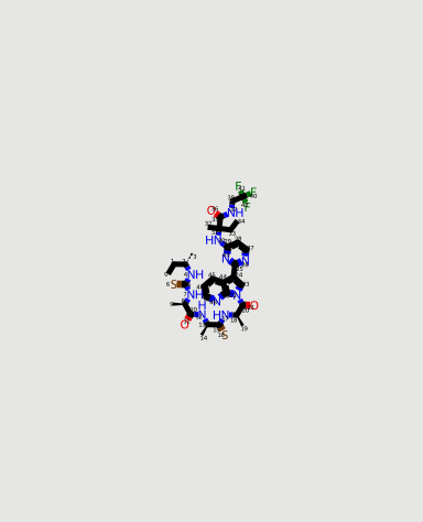 CC[C@H](C)NC(=S)N[C@H](C)C(=O)N[C@H](C)C(=S)N[C@H](C)C(=O)n1cc(-c2nccc(NC(C)(CC)C(=O)NCC(F)(F)F)n2)c2cccnc21